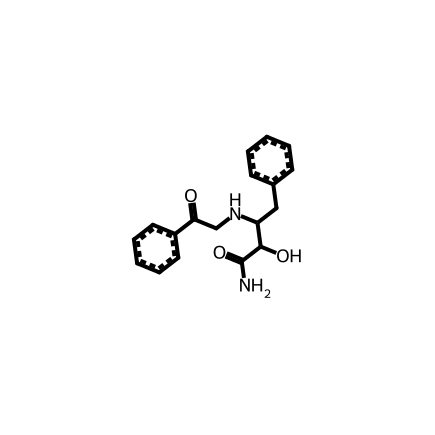 NC(=O)C(O)C(Cc1ccccc1)NCC(=O)c1ccccc1